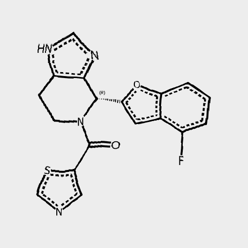 O=C(c1cncs1)N1CCc2[nH]cnc2[C@@H]1c1cc2c(F)cccc2o1